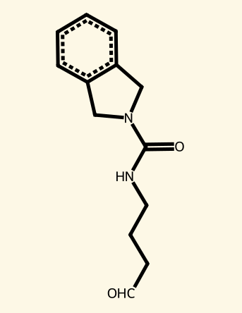 O=CCCCNC(=O)N1Cc2ccccc2C1